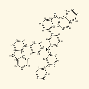 c1ccc(-c2cccc(N(c3ccc(-c4cccc5oc6ccccc6c45)cc3)c3cccc(-c4cccc5oc6c7ccccc7ccc6c45)c3)c2)cc1